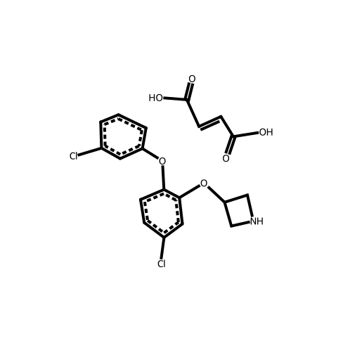 Clc1cccc(Oc2ccc(Cl)cc2OC2CNC2)c1.O=C(O)C=CC(=O)O